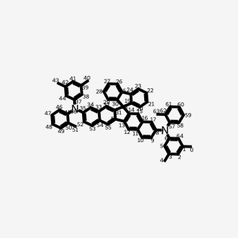 Cc1cc(C)cc(N(c2ccc3cc4c(cc3c2)C2(c3ccccc3-c3ccccc32)c2cc3cc(N(c5cc(C)cc(C)c5)c5ccccc5C)ccc3cc2-4)c2ccccc2C)c1